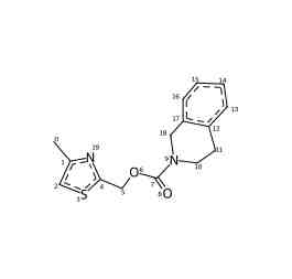 Cc1csc(COC(=O)N2CCc3ccccc3C2)n1